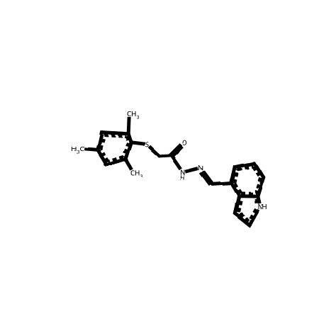 Cc1cc(C)c(SCC(=O)NN=Cc2cccc3[nH]ccc23)c(C)c1